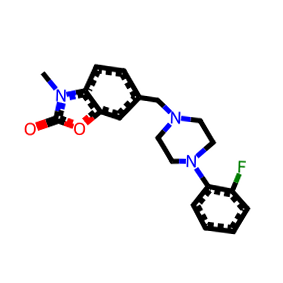 Cn1c(=O)oc2cc(CN3CCN(c4ccccc4F)CC3)ccc21